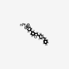 CCCS(=O)(=O)N1CC=C(c2ccc3c(c2)CC(C2CCN(Cc4ccccc4)CC2)O3)CC1